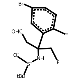 CC(C)(C)[S+]([O-])NC(CF)(CC=O)c1cc(Br)ccc1F